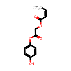 CCOC(=O)/C=C\C(=O)OCC(=O)Oc1ccc(O)cc1